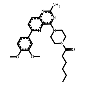 CCCCCC(=O)N1CCN(c2nc(N)nc3ccc(-c4ccc(OC)c(OC)c4)nc23)CC1